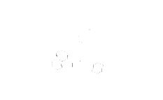 CN(C)CCC(CN(CCCNC(=O)OC(C)(C)C)C(=O)c1cccc2ccccc12)c1ccc(Cl)c(Cl)c1